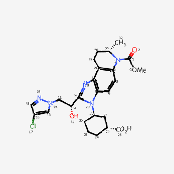 COC(=O)N1c2ccc3c(nc([C@H](O)Cn4cc(Cl)cn4)n3[C@@H]3CCC[C@@H](C(=O)O)C3)c2CC[C@@H]1C